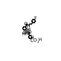 O=C(NCCc1ccc(F)cc1)c1cccc(S(=O)(=O)NC(=O)c2ccc(C(=O)O)nc2)c1